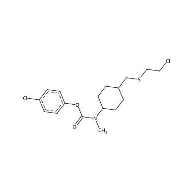 CN(C(=O)Oc1ccc(Cl)cc1)C1CCC(CSCCCl)CC1